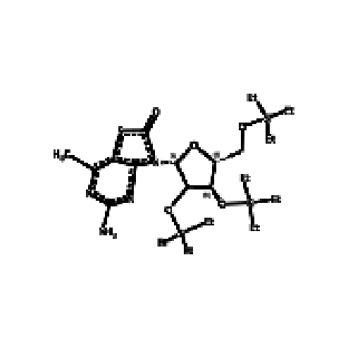 CC[Si](CC)(CC)OC[C@H]1O[C@@H](n2c(=O)sc3c(C)nc(N)nc32)C(O[Si](CC)(CC)CC)[C@@H]1O[Si](CC)(CC)CC